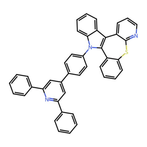 c1ccc(-c2cc(-c3ccc(-n4c5c(c6ccccc64)-c4cccnc4Sc4ccccc4-5)cc3)cc(-c3ccccc3)n2)cc1